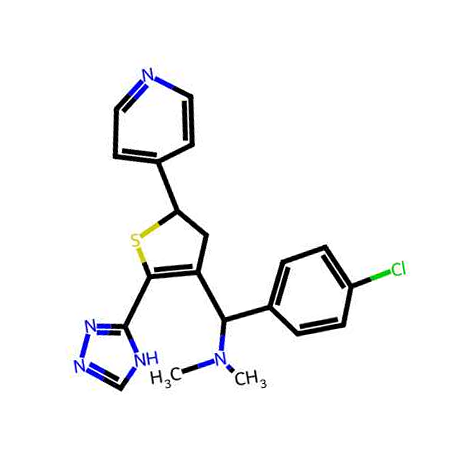 CN(C)C(C1=C(c2nnc[nH]2)SC(c2ccncc2)C1)c1ccc(Cl)cc1